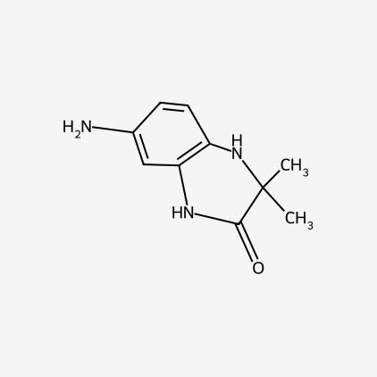 CC1(C)Nc2ccc(N)cc2NC1=O